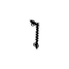 CCOC(=O)CCCCCCCCCCCCCCCC(C)CCC(=O)OCC